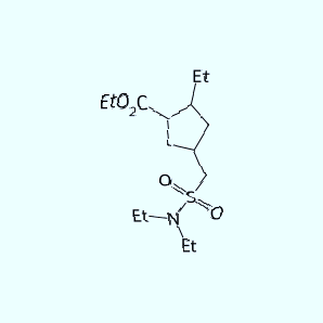 CCOC(=O)C1CC(CS(=O)(=O)N(CC)CC)CC1CC